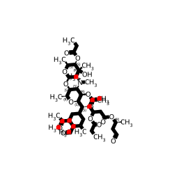 CCC(=O)OC(CC(=O)O[C@H](C)CC=O)C(OC)[C@H](C(CC(OC)OC)CC(C)C(C=O)OC(C)=O)[C@@H]1O[C@H](C)[C@@H](O[C@@H]2C[C@@](C)(O)[C@@H](OC(=O)CC)[C@H](C)O2)[C@H](N(C)C)[C@H]1OC(C)=O